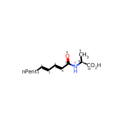 CCCCC/C=C/C=C/C(=O)N[C@@H](C)C(=O)O